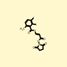 Cc1ccc(I)c(I)c1C(=O)O/C=C/C(=O)ON1C(=O)CCC1=O